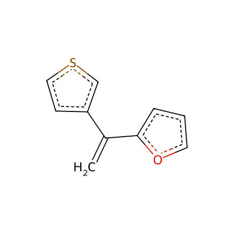 C=C(c1ccsc1)c1ccco1